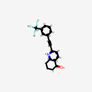 O=C1CCCc2nc(C#Cc3cccc(C(F)(F)F)c3)ccc21